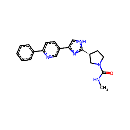 CNC(=O)N1CC[C@@H](c2nc(-c3ccc(-c4ccccc4)nc3)c[nH]2)C1